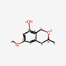 COc1cc(O)c2c(c1)CC(C)OC2